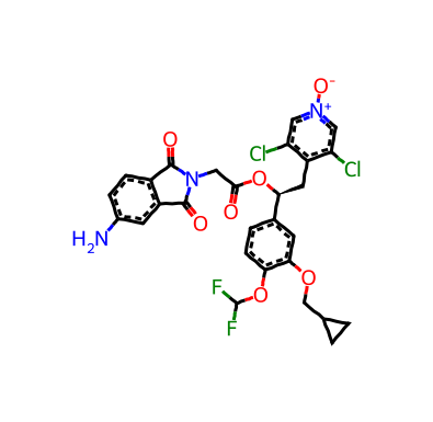 Nc1ccc2c(c1)C(=O)N(CC(=O)O[C@@H](Cc1c(Cl)c[n+]([O-])cc1Cl)c1ccc(OC(F)F)c(OCC3CC3)c1)C2=O